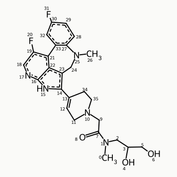 CN(CC(O)CO)C(=O)CN1CC=C(c2[nH]c3ncc(F)c4c3c2CN(C)c2ccc(F)cc2-4)CC1